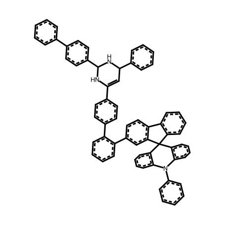 C1=C(c2ccc(-c3ccccc3-c3ccc4c(c3)C3(c5ccccc5-4)c4ccccc4N(c4ccccc4)c4ccccc43)cc2)NC(c2ccc(-c3ccccc3)cc2)NC1c1ccccc1